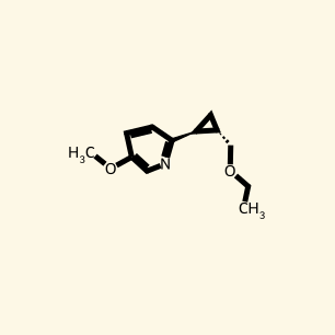 CCOC[C@H]1C[C@@H]1c1ccc(OC)cn1